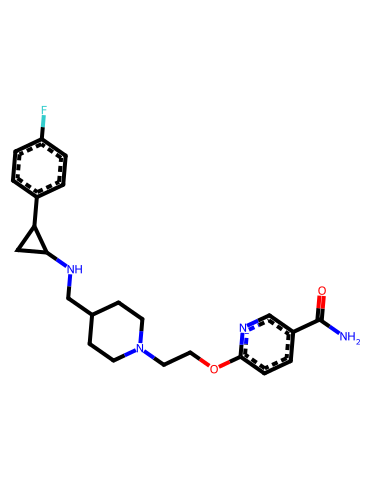 NC(=O)c1ccc(OCCN2CCC(CNC3CC3c3ccc(F)cc3)CC2)nc1